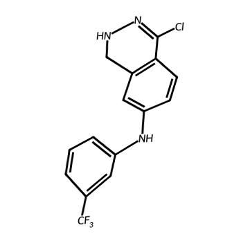 FC(F)(F)c1cccc(Nc2ccc3c(c2)CNN=C3Cl)c1